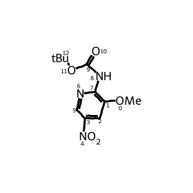 COc1cc([N+](=O)[O-])cnc1NC(=O)OC(C)(C)C